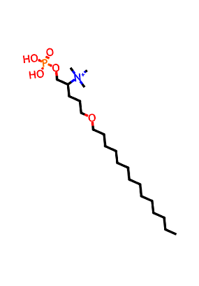 CCCCCCCCCCCCCCOCCCC(COP(=O)(O)O)[N+](C)(C)C